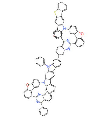 c1ccc(-c2nc(-c3cccc4oc5ccc(-n6c7ccccc7c7cc8c9ccc(-c%10ccc%11c(-c%12ccccc%12)nc(-c%12cccc%13oc%14ccc(-n%15c%16ccccc%16c%16cc%17sc%18ccccc%18c%17cc%16%15)cc%14c%12%13)nc%11c%10)cc9n(-c9ccccc9)c8cc76)cc5c34)nc3ccccc23)cc1